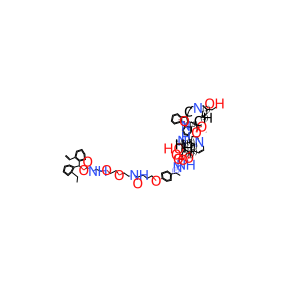 C=Cc1ccccc1C(OC(=O)NCCOCCOCCNC(=O)CCCOc1ccc(/C(C)=N/NC(=O)O[C@@H]2[C@]3(CC)C=CCN4CC[C@@]5(c6cc([C@@]7(C(=O)OC)C[C@@H]8CN(CCc9c7[nH]c7ccccc97)C[C@](O)(CC)C8)c(OC)cc6N(C)[C@H]5[C@@]2(O)C(=O)OC)[C@@H]43)cc1)c1ccccc1CC